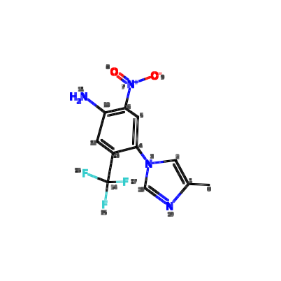 Cc1cn(-c2cc([N+](=O)[O-])c(N)cc2C(F)(F)F)cn1